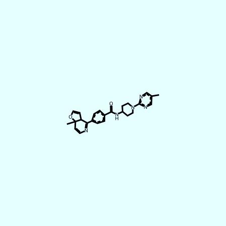 Cc1cnc(N2CCC(NC(=O)c3ccc(C4=NC=CC5(C)OC=CC45)cc3)CC2)nc1